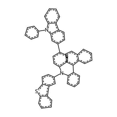 c1ccc(-n2c3ccccc3c3ccc(-c4ccc(N(c5ccc6sc7ccccc7c6c5)c5ccccc5-c5cccc6ccccc56)cc4)cc32)cc1